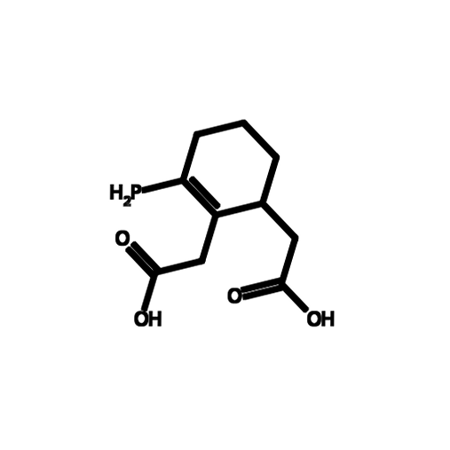 O=C(O)CC1=C(P)CCCC1CC(=O)O